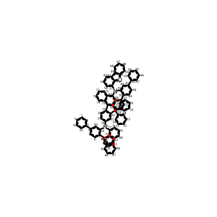 c1ccc(-c2ccc(-c3ccccc3)c(N(c3ccc4c(c3)C(c3ccccc3)(c3ccccc3)c3cc(N(c5cc(-c6ccccc6)ccc5-c5ccccc5)c5cccc6c5oc5ccccc56)c5ccccc5c3-4)c3cccc4c3oc3ccccc34)c2)cc1